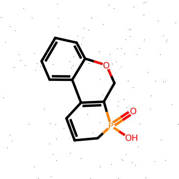 O=P1(O)CC=CC2=C1COc1ccccc12